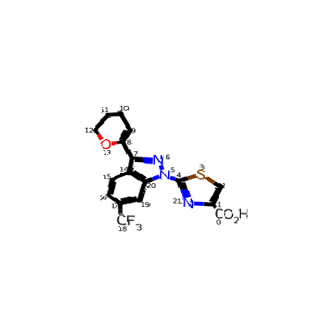 O=C(O)c1csc(-n2nc(C3=CCCCO3)c3ccc(C(F)(F)F)cc32)n1